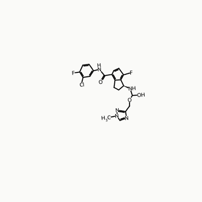 Cn1cnc(COC(O)N[C@H]2CCc3c(C(=O)Nc4ccc(F)c(Cl)c4)ccc(F)c32)n1